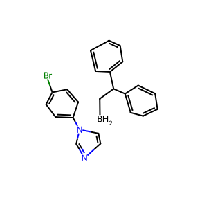 BCC(c1ccccc1)c1ccccc1.Brc1ccc(-n2ccnc2)cc1